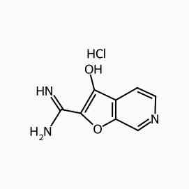 Cl.N=C(N)c1oc2cnccc2c1O